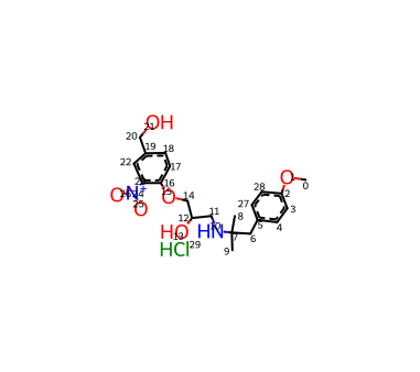 COc1ccc(CC(C)(C)NCC(O)COc2ccc(CO)cc2[N+](=O)[O-])cc1.Cl